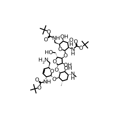 CN[C@@H]1C[C@H](C)[C@@H](O[C@H]2O[C@H](CN)C=C[C@H]2NC(=O)OC(C)(C)C)[C@H](O[C@@H]2O[C@H](CO)[C@@H](O[C@H]3O[C@@H](CNC(=O)OC(C)(C)C)[C@@H](O)[C@H](O)[C@H]3NC(=O)OC(C)(C)C)[C@H]2O)[C@H]1O